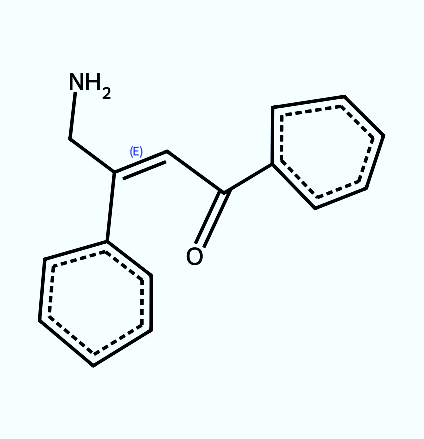 NC/C(=C/C(=O)c1ccccc1)c1ccccc1